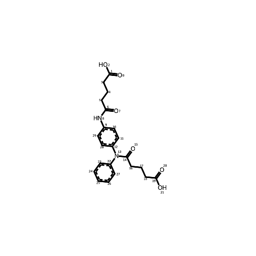 O=C(O)CCCC(=O)Nc1ccc(N(C(=O)CCCC(=O)O)c2ccccc2)cc1